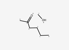 CCCCC(C)=O.CO